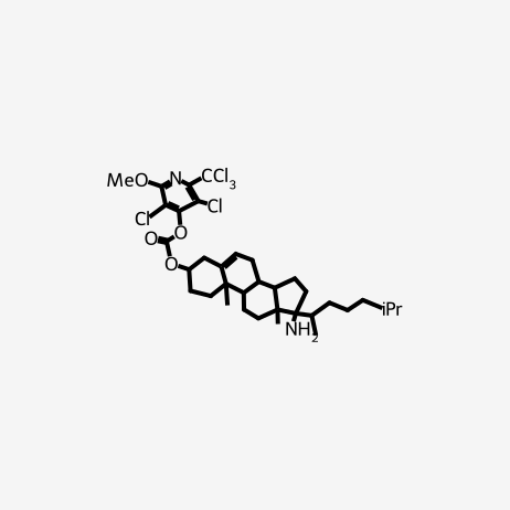 COc1nc(C(Cl)(Cl)Cl)c(Cl)c(OC(=O)OC2CCC3(C)C(=CCC4C3CCC3(C)C4CCC3(N)C(C)CCCC(C)C)C2)c1Cl